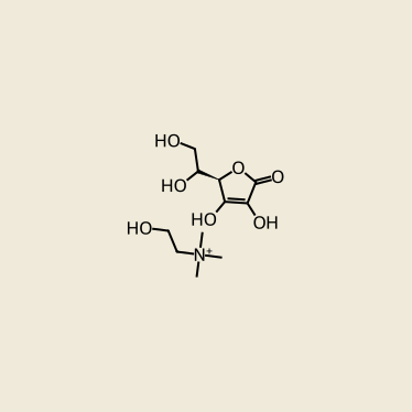 C[N+](C)(C)CCO.O=C1O[C@H](C(O)CO)C(O)=C1O